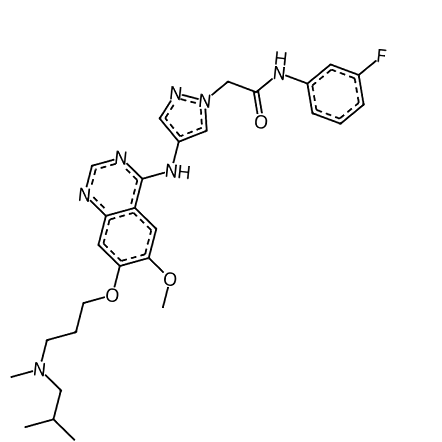 COc1cc2c(Nc3cnn(CC(=O)Nc4cccc(F)c4)c3)ncnc2cc1OCCCN(C)CC(C)C